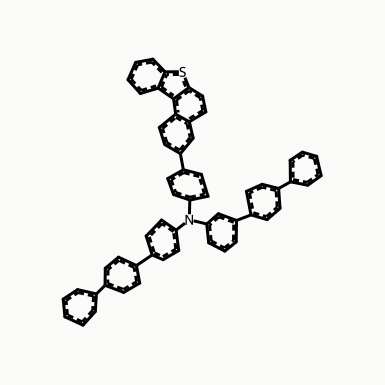 c1ccc(-c2ccc(-c3ccc(N(c4ccc(-c5ccc6c(ccc7sc8ccccc8c76)c5)cc4)c4cccc(-c5ccc(-c6ccccc6)cc5)c4)cc3)cc2)cc1